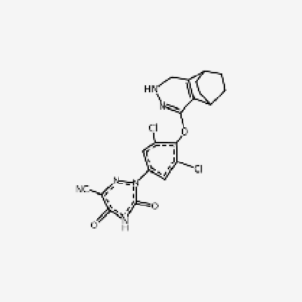 N#Cc1nn(-c2cc(Cl)c(OC3=NNCC4=C3C3CCC4CC3)c(Cl)c2)c(=O)[nH]c1=O